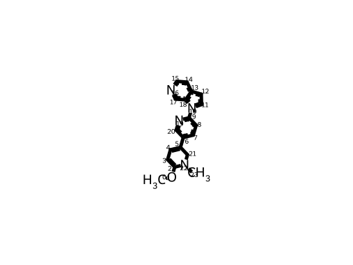 COC1=CC=C(c2ccc(-n3ccc4ccncc43)nc2)CN1C